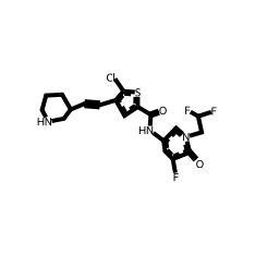 O=C(Nc1cc(F)c(=O)n(CC(F)F)c1)c1cc(C#CC2CCCNC2)c(Cl)s1